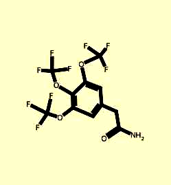 NC(=O)Cc1cc(OC(F)(F)F)c(OC(F)(F)F)c(OC(F)(F)F)c1